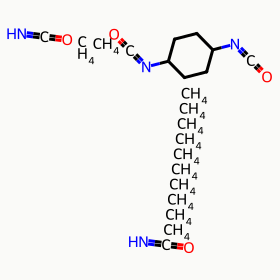 C.C.C.C.C.C.C.C.C.C.C.C.N=C=O.N=C=O.O=C=NC1CCC(N=C=O)CC1